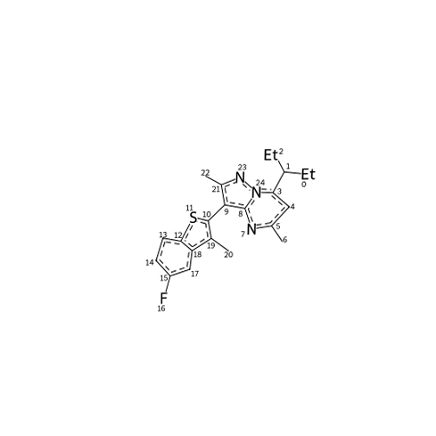 CCC(CC)c1cc(C)nc2c(-c3sc4ccc(F)cc4c3C)c(C)nn12